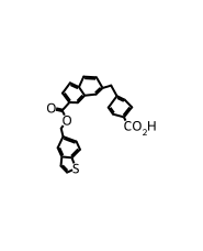 O=C(O)c1ccc(Cc2ccc3ccc(C(=O)OCc4ccc5sccc5c4)cc3c2)cc1